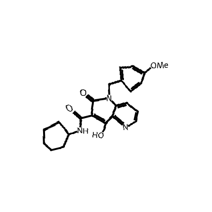 COc1ccc(Cn2c(=O)c(C(=O)NC3CCCCC3)c(O)c3ncccc32)cc1